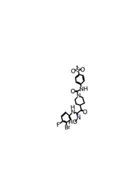 CS(=O)(=O)c1ccc(NC(=O)N2CCC(C(=O)/C(=N/O)Nc3ccc(F)c(Br)c3)CC2)cc1